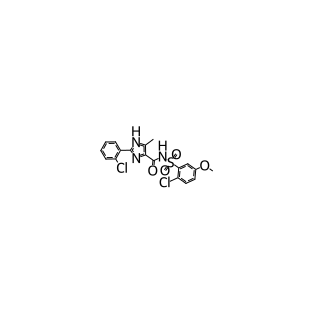 COc1ccc(Cl)c(S(=O)(=O)NC(=O)c2nc(-c3ccccc3Cl)[nH]c2C)c1